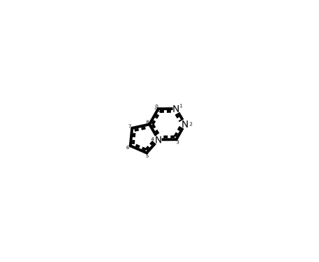 [c]1nncn2cccc12